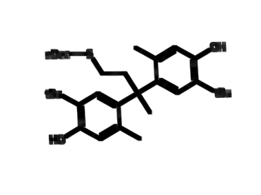 CCCCCCCCCCSCCC(C)(c1cc(C(C)(C)C)c(O)cc1C)c1cc(C(C)(C)C)c(O)cc1C